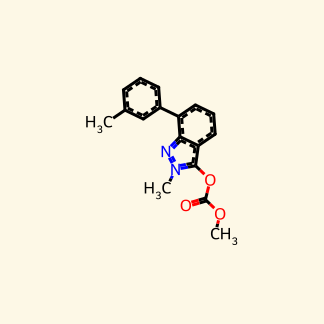 COC(=O)Oc1c2cccc(-c3cccc(C)c3)c2nn1C